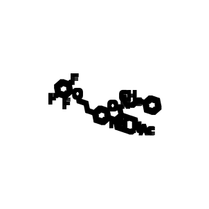 CC(=O)N1CC2CC(c3ccc(CCCOc4c(F)ccc(F)c4F)cc3)=C(C(=O)N(C)CCc3ccccc3)C(C1)N2